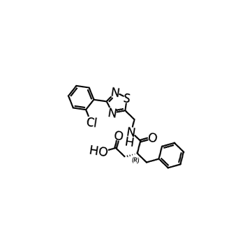 O=C(O)C[C@@H](Cc1ccccc1)C(=O)NCc1nc(-c2ccccc2Cl)ns1